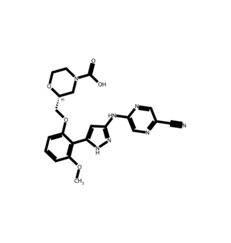 COc1cccc(OC[C@H]2CN(C(=O)O)CCO2)c1-c1cc(Nc2cnc(C#N)cn2)n[nH]1